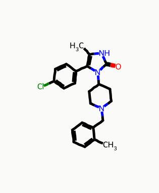 Cc1ccccc1CN1CCC(n2c(-c3ccc(Cl)cc3)c(C)[nH]c2=O)CC1